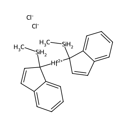 C[SiH2][C]1([Hf+2][C]2([SiH2]C)C=Cc3ccccc32)C=Cc2ccccc21.[Cl-].[Cl-]